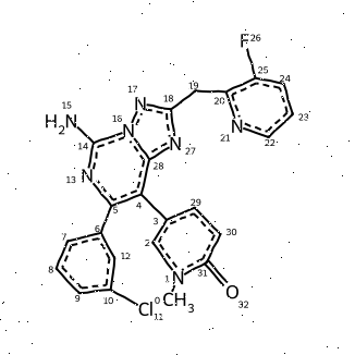 Cn1cc(-c2c(-c3cccc(Cl)c3)nc(N)n3nc(Cc4ncccc4F)nc23)ccc1=O